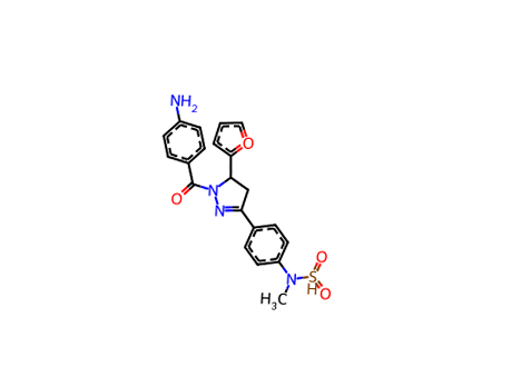 CN(c1ccc(C2=NN(C(=O)c3ccc(N)cc3)C(c3ccco3)C2)cc1)[SH](=O)=O